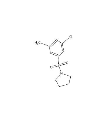 Cc1cc(Cl)cc(S(=O)(=O)N2CCCC2)c1